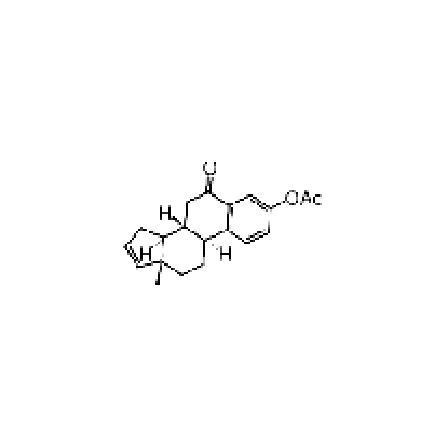 CC(=O)Oc1ccc2c(c1)C(=O)C[C@@H]1[C@@H]2CC[C@]2(C)C=CC[C@@H]12